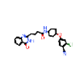 N#Cc1ccc(OC2CCC(NC(=O)CCCc3nc4ccccc4c(=O)[nH]3)CC2)cc1Cl